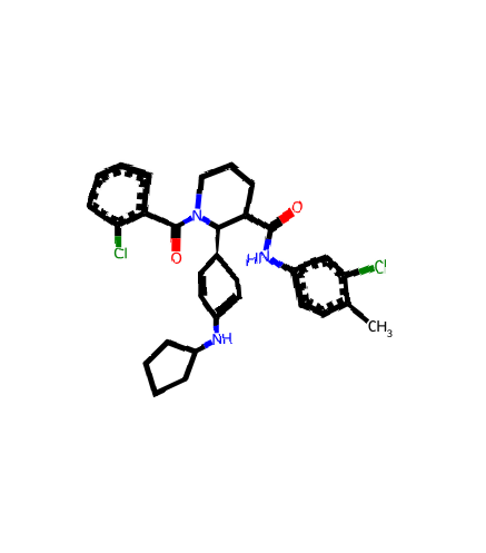 Cc1ccc(NC(=O)C2CCCN(C(=O)c3ccccc3Cl)C2[C@@H]2C=CC(NC3CCCC3)=CC2)cc1Cl